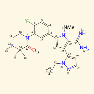 CNn1c(-c2ccc(F)c(N3CCN(C)C(C)(C)C3=O)c2)cc(-c2ccnn2CC(F)(F)F)c1C(=N)N